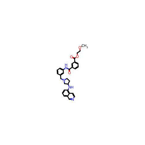 COCCOC(=O)c1cccc(C(=O)Nc2cccc(CN3CCC(Nc4cccc5cnccc45)C3)c2)c1